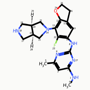 CNc1cc(C)nc(Nc2cc3c(c(N4C[C@H]5CNC[C@H]5C4)c2F)OCC3)n1